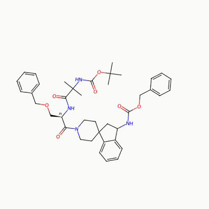 CC(C)(C)OC(=O)NC(C)(C)C(=O)N[C@H](COCc1ccccc1)C(=O)N1CCC2(CC1)CC(NC(=O)OCc1ccccc1)c1ccccc12